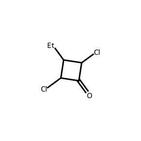 CCC1C(Cl)C(=O)C1Cl